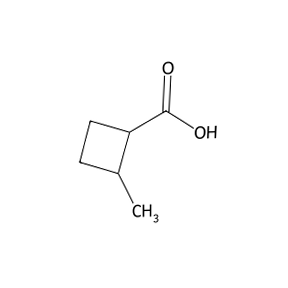 CC1CCC1C(=O)O